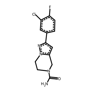 NC(=O)N1CCn2nc(-c3ccc(F)c(Cl)c3)cc2C1